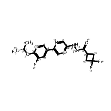 C[C@H](Oc1ncc(-c2cnc(NNC(=O)C3CC(F)(F)C3)cn2)cc1F)C(F)(F)F